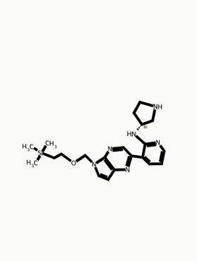 C[Si](C)(C)CCOCn1ccc2nc(-c3cccnc3N[C@@H]3CCNC3)cnc21